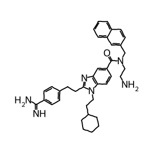 N=C(N)c1ccc(CCc2nc3cc(C(=O)N(CCN)Cc4ccc5ccccc5c4)ccc3n2CCC2CCCCC2)cc1